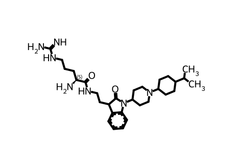 CC(C)C1CCC(N2CCC(N3C(=O)C(CCNC(=O)[C@@H](N)CCCNC(=N)N)c4ccccc43)CC2)CC1